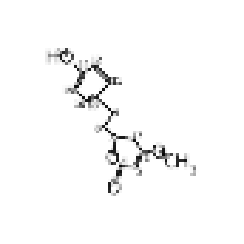 COC1=CC(=O)OC(CCc2ccc(O)cc2)C1